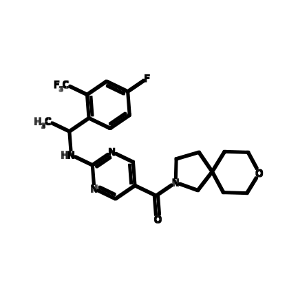 CC(Nc1ncc(C(=O)N2CCC3(CCOCC3)C2)cn1)c1ccc(F)cc1C(F)(F)F